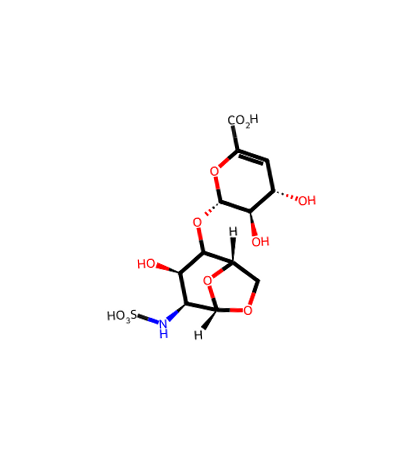 O=C(O)C1=C[C@H](O)[C@@H](O)[C@H](OC2[C@@H]3CO[C@@H](O3)[C@@H](NS(=O)(=O)O)[C@H]2O)O1